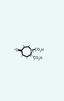 O=C1CC[C@@H](C(=O)O)N(C(=O)O)CC1